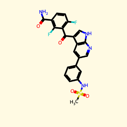 CS(=O)(=O)Nc1cccc(-c2cnc3[nH]cc(C(=O)c4c(F)ccc(C(N)=O)c4F)c3c2)c1